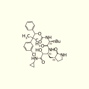 CCCC[C@H](NC(=O)OC(c1ccccc1)C(C)(C)c1cccc(Cl)c1)C(=O)N[C@@H](C[C@@H]1CCNC1=O)C(O)C(=O)NC1CC1